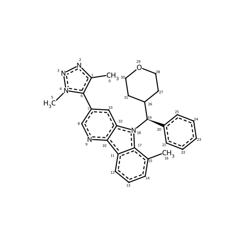 Cc1nnn(C)c1-c1cnc2c3cccc(C)c3n([C@H](c3ccccc3)C3CCOCC3)c2c1